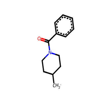 [CH2]C1CCN(C(=O)c2ccccc2)CC1